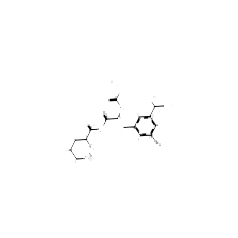 CC(C)(C)OC(=O)N[C@@H](Cc1cc(Br)cc(C(F)F)c1)C(=O)OC(=O)C1CCCNN1